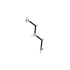 CCCOCBr